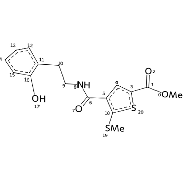 COC(=O)c1cc(C(=O)NCCc2ccccc2O)c(SC)s1